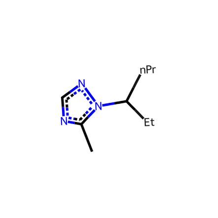 CCCC(CC)n1ncnc1C